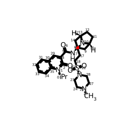 CC(C)n1c(=O)c(C(=O)N[C@@H]2C[C@H]3CC[C@@H](C2)N3CCCS(=O)(=O)N2CCN(C)CC2)cc2ccccc21